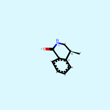 C[C@@H]1CNC(=O)c2ccccc21